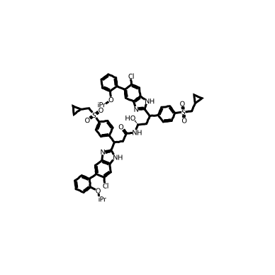 CC(C)Oc1ccccc1-c1cc2nc(C(CC(=O)N[C@H](O)CC(c3ccc(S(=O)(=O)CC4CC4)cc3)c3nc4cc(-c5ccccc5OC(C)C)c(Cl)cc4[nH]3)c3ccc(S(=O)(=O)CC4CC4)cc3)[nH]c2cc1Cl